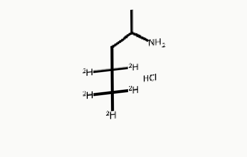 Cl.[2H]C([2H])([2H])C([2H])([2H])CC(C)N